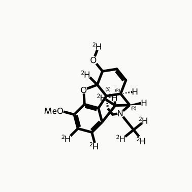 [2H]OC1C=C[C@H]2[C@@H]3N(C([2H])([2H])[2H])CC[C@@]24c2c(c(OC)c([2H])c([2H])c2C3([2H])[2H])OC14[2H]